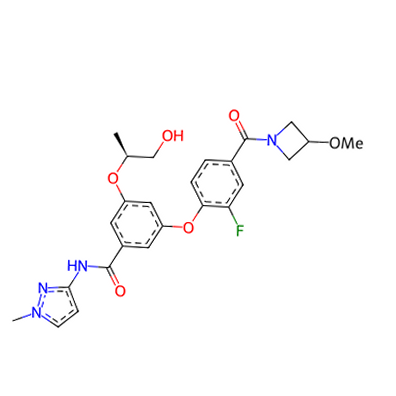 COC1CN(C(=O)c2ccc(Oc3cc(O[C@@H](C)CO)cc(C(=O)Nc4ccn(C)n4)c3)c(F)c2)C1